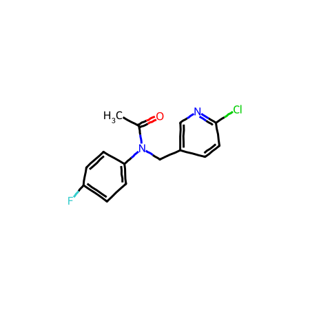 CC(=O)N(Cc1ccc(Cl)nc1)c1ccc(F)cc1